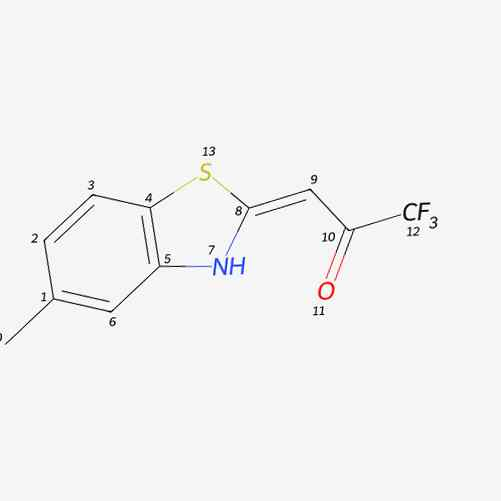 Cc1ccc2c(c1)N/C(=C\C(=O)C(F)(F)F)S2